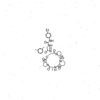 CCc1ccc(NC(=O)N[C@@H](Cc2cccc(C)c2)C(=O)N[C@H]2COC(=O)[C@@H]3C[C@@H](C)CN3C(=O)[C@H](C)NC(=O)[C@@H]3CCCCN3C(=O)[C@@H]3CCCN3C2=O)cc1